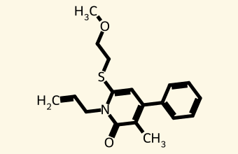 C=CCn1c(SCCOC)cc(-c2ccccc2)c(C)c1=O